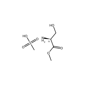 COC(=O)[C@@H](N)CO.CS(=O)(=O)O